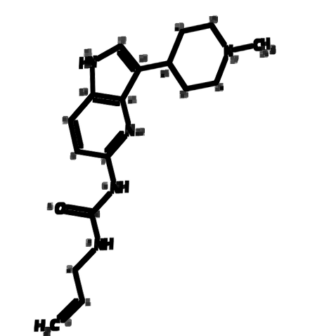 C=CCNC(=O)Nc1ccc2[nH]cc(C3CCN(C)CC3)c2n1